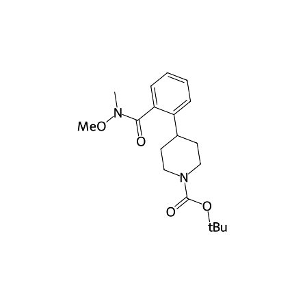 CON(C)C(=O)c1ccccc1C1CCN(C(=O)OC(C)(C)C)CC1